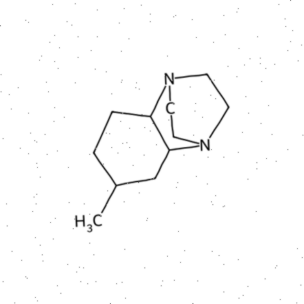 CC1CCC2C(C1)N1CCN2CC1